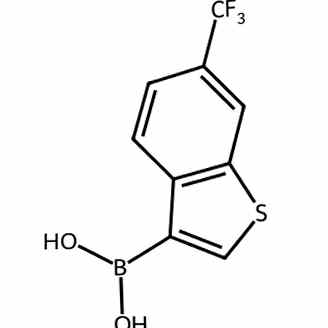 OB(O)c1csc2cc(C(F)(F)F)ccc12